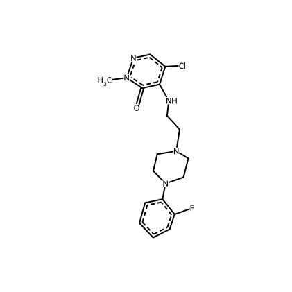 Cn1ncc(Cl)c(NCCN2CCN(c3ccccc3F)CC2)c1=O